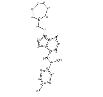 OC(Nc1ncnc2c1cnn2CCN1CCCCCC1)c1ccc(F)cc1